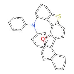 c1ccc(N(c2ccccc2)c2cccc3sc4ccc5c(oc6ccc7ccccc7c65)c4c23)cc1